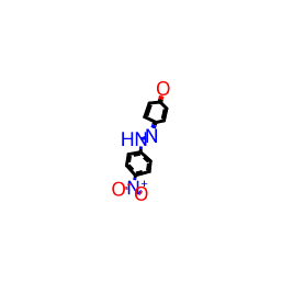 O=C1C=CC(=NNc2ccc([N+](=O)[O-])cc2)C=C1